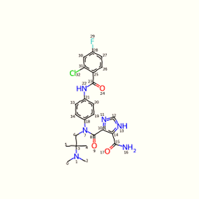 CN(C)C(C)(C)CN(C(=O)c1nc[nH]c1C(N)=O)c1ccc(NC(=O)c2ccc(F)cc2Cl)cc1